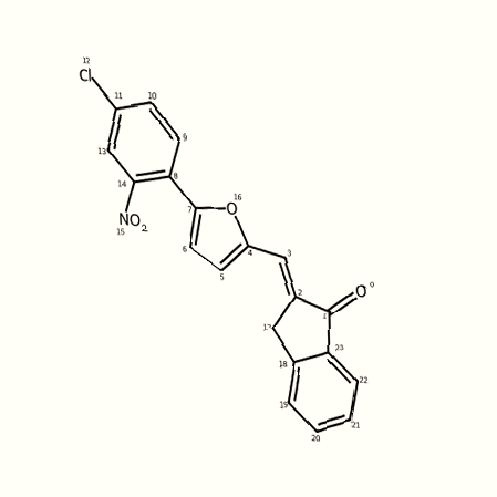 O=C1C(=Cc2ccc(-c3ccc(Cl)cc3[N+](=O)[O-])o2)Cc2ccccc21